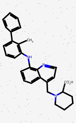 Cc1c(Nc2cccc3c(CN4CCCCC4C(=O)O)ccnc23)cccc1-c1ccccc1